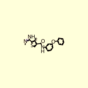 C/N=C(/N)c1scc(C(=O)Nc2cccc(Oc3ccccc3)c2)c1C